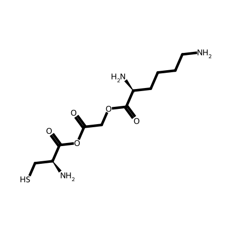 NCCCC[C@H](N)C(=O)OCC(=O)OC(=O)[C@@H](N)CS